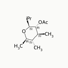 CC(=O)O[C@@H]1[C@@H](C)[C@H](C)[C@@H](C)O[C@H]1C(C)C